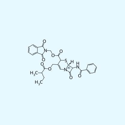 CCC(C)C(=O)OCC1=CN2C(=O)C(NC(=O)c3ccccc3)[C@H]2SC1C(=O)OCN1C(=O)c2ccccc2C1=O